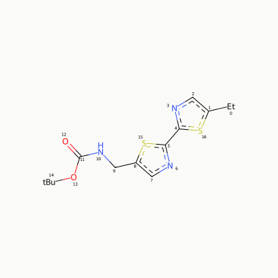 CCc1cnc(-c2ncc(CNC(=O)OC(C)(C)C)s2)s1